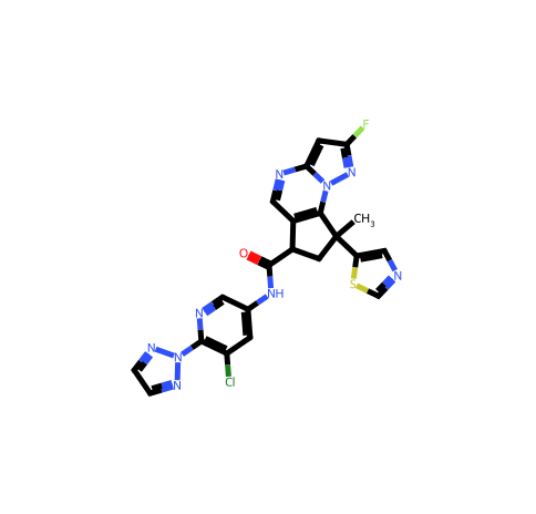 CC1(c2cncs2)CC(C(=O)Nc2cnc(-n3nccn3)c(Cl)c2)c2cnc3cc(F)nn3c21